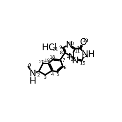 CNC1Cc2ccc(-c3cnc4c(=O)[nH]cnn34)cc2C1.Cl